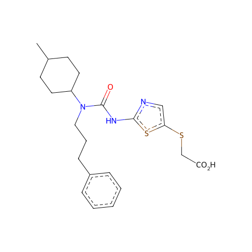 CC1CCC(N(CCCc2ccccc2)C(=O)Nc2ncc(SCC(=O)O)s2)CC1